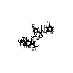 CC(=O)c1cn(CC(=O)N2C[C@H](F)C[C@H]2C(=O)NCc2cccc(C)c2F)c2cc(P(=O)(O)O)c(F)cc12